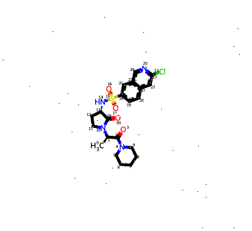 C[C@H](C(=O)N1CCCCC1)N1CC[C@H](NS(=O)(=O)c2ccc3cc(Cl)ncc3c2)C1=O